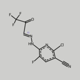 N#Cc1cc(F)c(N/N=C/C(=O)C(F)(F)F)nc1Cl